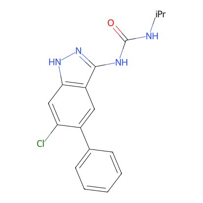 CC(C)NC(=O)Nc1n[nH]c2cc(Cl)c(-c3ccccc3)cc12